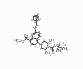 COC(=O)c1ccc(N2C[C@H](C)N(C(=O)OC(C)(C)C)[C@@H](C)C2)c2cnc(OCC34CC(CO3)C4)nc12